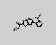 CC(F)c1ncccc1-c1ccc2c(c1)CN(C(=O)OC(C)(C)C)C2